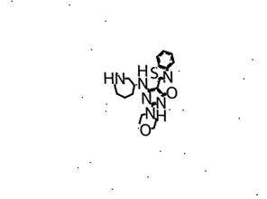 O=c1[nH]c(N2CCOCC2)nc(N[C@@H]2CCCCNC2)c1-c1nc2ccccc2s1